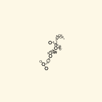 CC1(C)CN(CC[C@H](CSc2ccccc2)Nc2ccc(S(=O)(=O)Nc3ncnc4cc(N5CCN(Cc6cc(Cl)ccc6-c6ccccc6)CC5)ccc34)cc2[N+](=O)[O-])C=N1